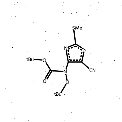 CSc1nc(N(OC(C)(C)C)C(=O)OC(C)(C)C)c(C#N)s1